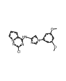 COc1cc(OC)cc(-n2cnc(Nc3nc(Cl)nn4cccc34)c2)c1